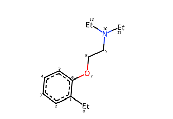 CCc1ccccc1OCCN(CC)CC